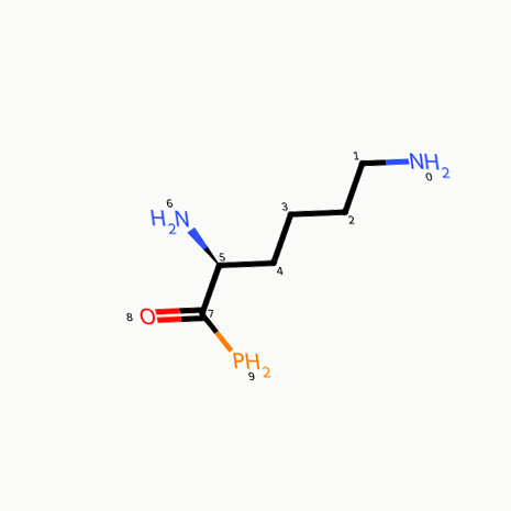 NCCCC[C@H](N)C(=O)P